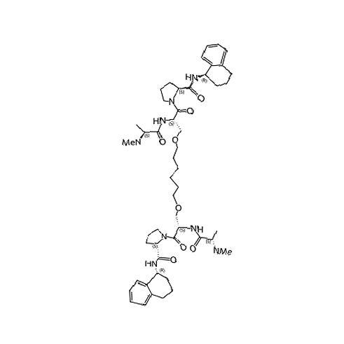 CN[C@@H](C)C(=O)N[C@@H](COCCCCCCOC[C@H](NC(=O)[C@H](C)NC)C(=O)N1CCC[C@H]1C(=O)N[C@@H]1CCCc2ccccc21)C(=O)N1CCC[C@H]1C(=O)N[C@@H]1CCCc2ccccc21